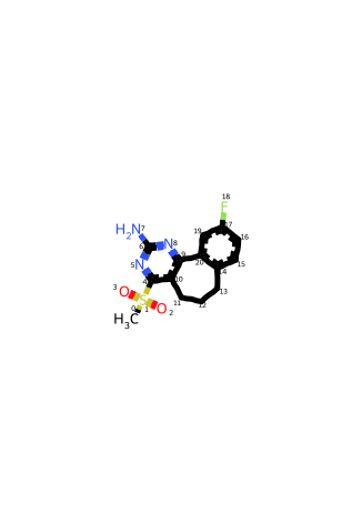 CS(=O)(=O)c1nc(N)nc2c1CCCc1ccc(F)cc1-2